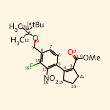 COC(=O)C1=C(c2ccc(CO[Si](C)(C)C(C)(C)C)c(F)c2[N+](=O)[O-])CCC1